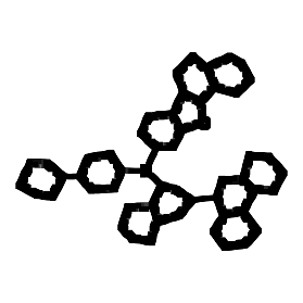 c1ccc(-c2ccc(N(c3ccc4c(c3)oc3c5ccccc5ccc43)c3cc(-c4cc5ccccc5c5ccccc45)cc4ccccc34)cc2)cc1